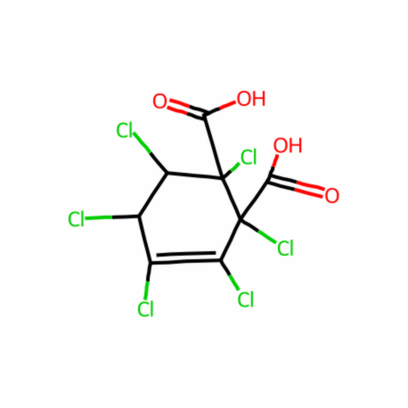 O=C(O)C1(Cl)C(Cl)=C(Cl)C(Cl)C(Cl)C1(Cl)C(=O)O